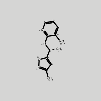 Cc1cc([C@@H](C)Oc2ncccc2[N+](=O)[O-])on1